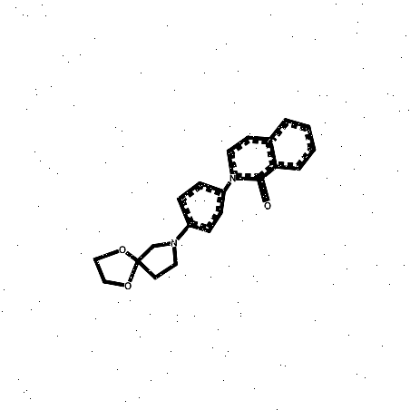 O=c1c2ccccc2ccn1-c1ccc(N2CCC3(C2)OCCO3)cc1